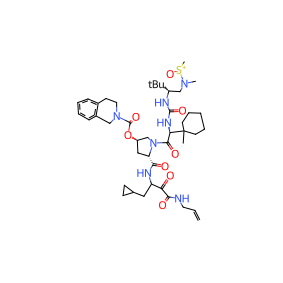 C=CCNC(=O)C(=O)C(CC1CC1)NC(=O)[C@@H]1C[C@@H](OC(=O)N2CCc3ccccc3C2)CN1C(=O)[C@@H](NC(=O)N[C@H](CN(C)[S+](C)[O-])C(C)(C)C)C1(C)CCCCC1